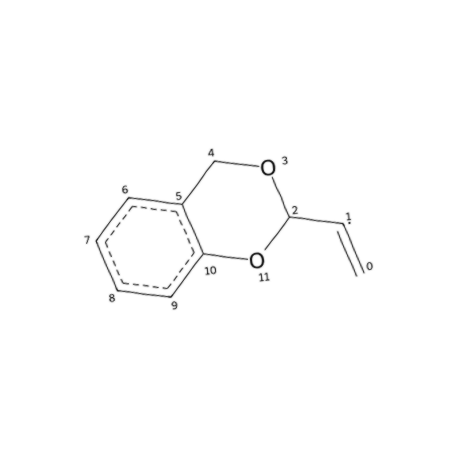 C=[C]C1OCc2ccccc2O1